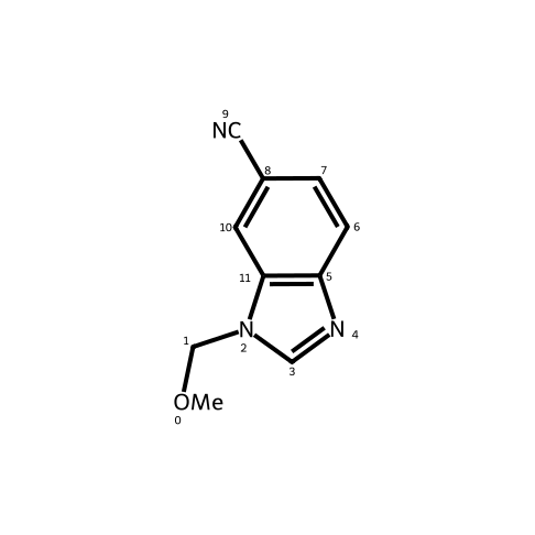 COCn1cnc2ccc(C#N)cc21